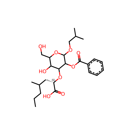 CCCC(C)C[C@H](OC1C(O)C(CO)OC(OCC(C)C)C1OC(=O)c1ccccc1)C(=O)O